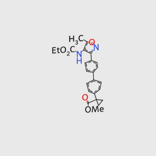 CCOC(=O)Nc1c(-c2ccc(-c3ccc(C4(C(=O)OC)CC4)cc3)cc2)noc1C